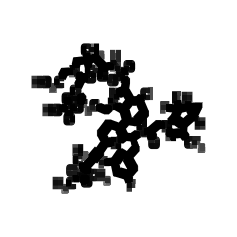 CC(C)(CC(=O)NS(=O)(=O)Cc1nn(CC(F)(F)F)c2c(-c3ccc(C#CC(C)(C)S(C)(=O)=O)nc3[C@H](Cc3cc(F)cc(F)c3)NC(=O)Cn3nc(C(F)(F)F)c4c3C(F)(F)[C@@H]3C[C@H]43)ccc(Cl)c12)CN(CC(=O)O)C(=O)OCOP(=O)(O)O